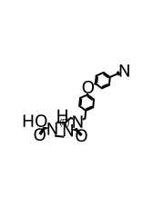 N#Cc1ccc(Oc2ccc(CN3C[C@@H]4CN(C(=O)O)CCN4C3=O)cc2)cc1